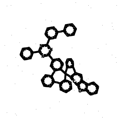 c1ccc(-c2cccc(-c3nc(-c4ccccc4)nc(-c4ccc5c(c4)-c4ccccc4-c4ccccc4C54c5ccccc5-c5cc6c(cc54)oc4ccccc46)n3)c2)cc1